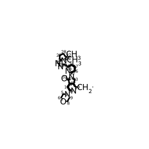 [CH2]c1nc(N2CCOCC2)cc2c1CN(c1cccc(-c3nnc4n3C(C)(C)CC4)n1)C2=O